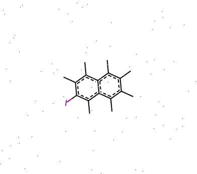 Cc1c(C)c(C)c2c(C)c(I)c(C)c(C)c2c1C